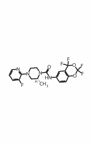 C[C@@H]1CN(c2ncccc2F)CCN1C(=O)Nc1ccc2c(c1)C(F)(F)OC(F)(F)O2